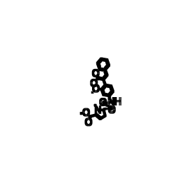 COC(=O)C1=CCC(S(=O)(=O)Nc2ccc(-c3cc4ccccc4oc3=O)c(OC)c2)N1C